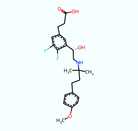 COc1ccc(CCC(C)(C)NC[C@@H](O)c2cc(CCC(=O)O)cc(F)c2F)cc1